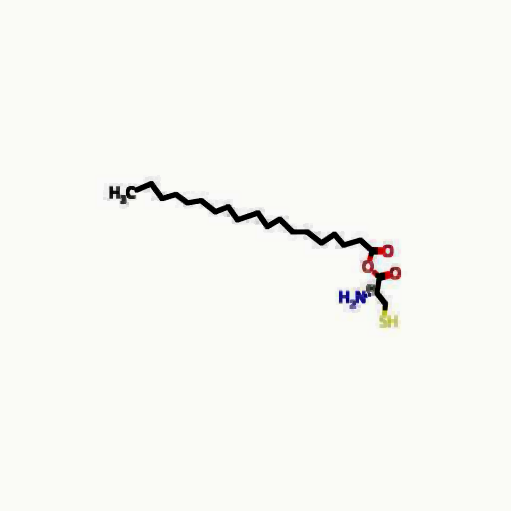 CCCCCCCCCCCCCCCCCCC(=O)OC(=O)[C@@H](N)CS